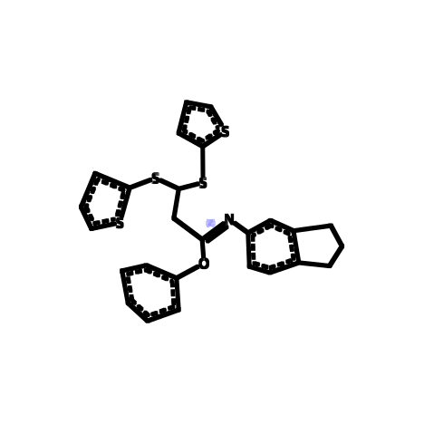 c1ccc(O/C(CC(Sc2cccs2)Sc2cccs2)=N\c2ccc3c(c2)CCC3)cc1